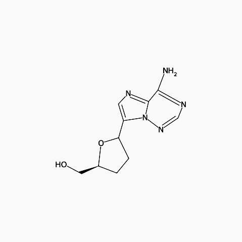 Nc1ncnn2c(C3CC[C@@H](CO)O3)cnc12